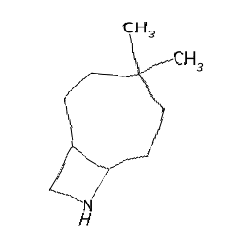 CC1(C)CCC2CNC2CC1